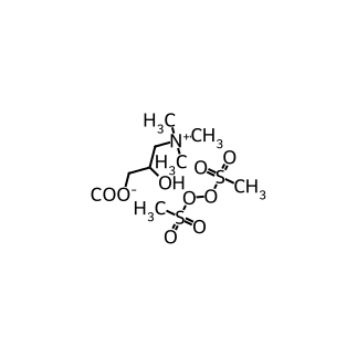 CS(=O)(=O)OOS(C)(=O)=O.C[N+](C)(C)CC(O)CC(=O)[O-]